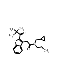 CCCN(CC1CC1)C(=O)Cc1c(C(=O)C(C)(C)C)sc2ccccc12